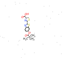 CC(C)(C)C(=O)Oc1ccc2nc(C3=NC(C(=O)O)CS3)sc2c1